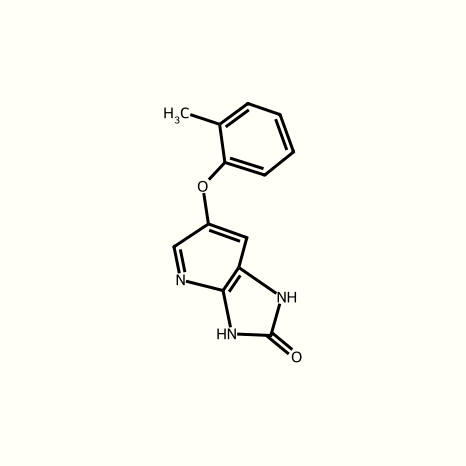 Cc1ccccc1Oc1cnc2[nH]c(=O)[nH]c2c1